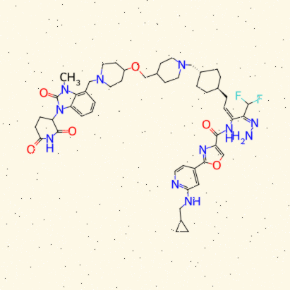 Cn1c(=O)n(C2CCC(=O)NC2=O)c2cccc(CN3CCC(OCC4CCN(C[C@H]5CC[C@H](C/C=C(NC(=O)c6coc(-c7ccnc(NCC8CC8)c7)n6)\C(=N/N)C(F)F)CC5)CC4)CC3)c21